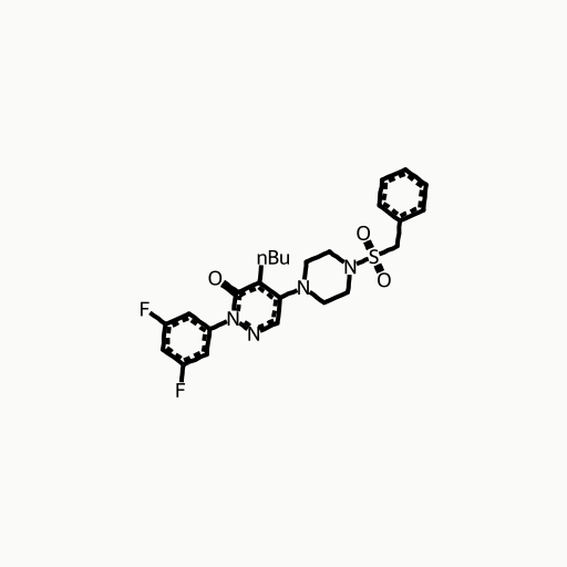 CCCCc1c(N2CCN(S(=O)(=O)Cc3ccccc3)CC2)cnn(-c2cc(F)cc(F)c2)c1=O